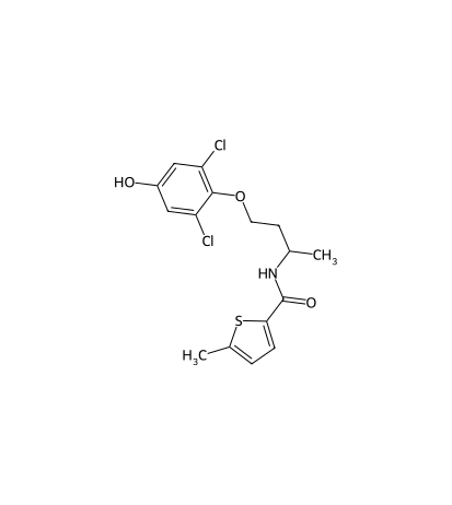 Cc1ccc(C(=O)NC(C)CCOc2c(Cl)cc(O)cc2Cl)s1